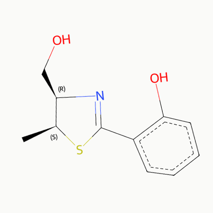 C[C@@H]1SC(c2ccccc2O)=N[C@@H]1CO